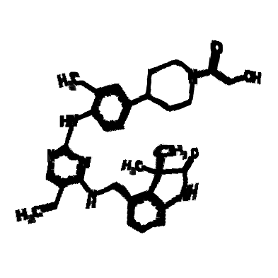 C=Cc1cnc(Nc2ccc(C3CCN(C(=O)CO)CC3)cc2C)nc1NCc1cccc2c1C(C)(C)C(=O)N2